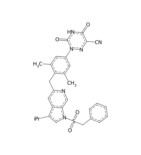 Cc1cc(-n2nc(C#N)c(=O)[nH]c2=O)cc(C)c1Cc1cc2c(C(C)C)cn(S(=O)(=O)Cc3ccccc3)c2cn1